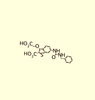 O=C(O)COc1c(C(=O)O)sc2cc(NC(=O)NCc3ccccc3)ccc12